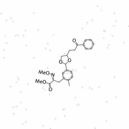 CON=C(Cc1cc(C2OCC(CCC(=O)c3ccccc3)O2)ccc1C)C(=O)OC